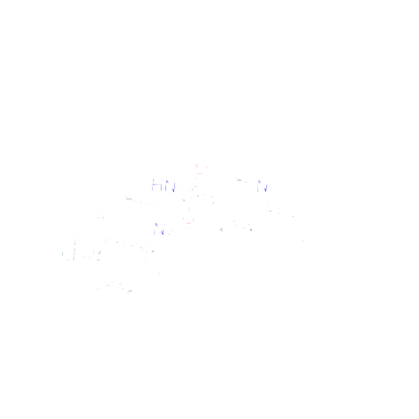 CCc1ccc(S(=O)(=O)Nc2ccc3c(Cl)cccc3n2)cn1